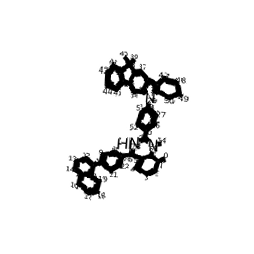 CC1C=CC=C2C(c3ccc(-c4cccc5ccccc45)cc3)NC(c3ccc(-n4c5c(c6c4CC4C(=C6)C(C)(C)c6ccccc64)C=CCC5)cc3)N(C)C21